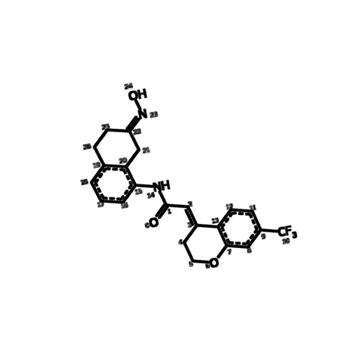 O=C(/C=C1\CCOc2cc(C(F)(F)F)ccc21)Nc1cccc2c1C/C(=N/O)CC2